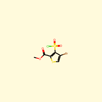 COC(=O)c1scc(Br)c1S(=O)(=O)Cl